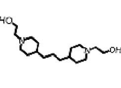 OCCN1CCC(CCCC2CCN(CCO)CC2)CC1